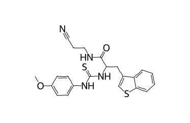 COc1ccc(NC(=S)NC(Cc2csc3ccccc23)C(=O)NCCC#N)cc1